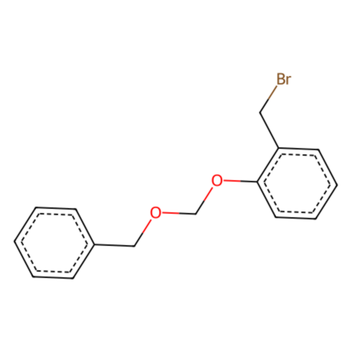 BrCc1ccccc1OCOCc1ccccc1